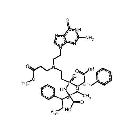 CCC(c1ccccc1)[C@](CC)(NP(=O)(CCN(CCC(=O)OC)CCn1cnc2c(=O)[nH]c(N)nc21)N[C@@H](Cc1ccccc1)C(=O)O)C(=O)O